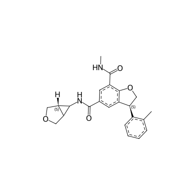 CNC(=O)c1cc(C(=O)NC2C3COC[C@@H]32)cc2c1OC[C@H]2c1ccccc1C